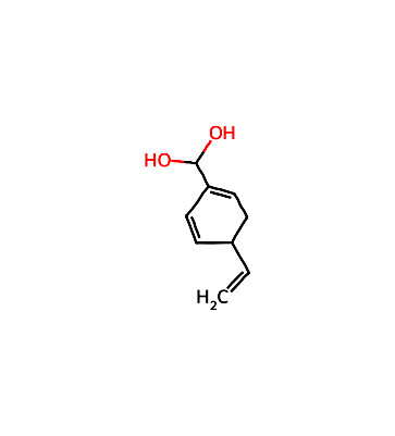 C=CC1C=CC(C(O)O)=CC1